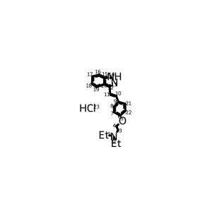 CCN(CC)CCOc1ccc(C=Cc2n[nH]c3ccccc23)cc1.Cl